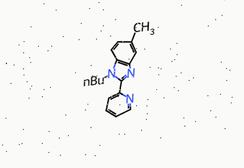 CCCCn1c(-c2ccccn2)nc2cc(C)ccc21